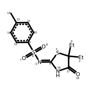 CCC1(CC)S/C(=N\S(=O)(=O)c2ccc(C)cc2)NC1=O